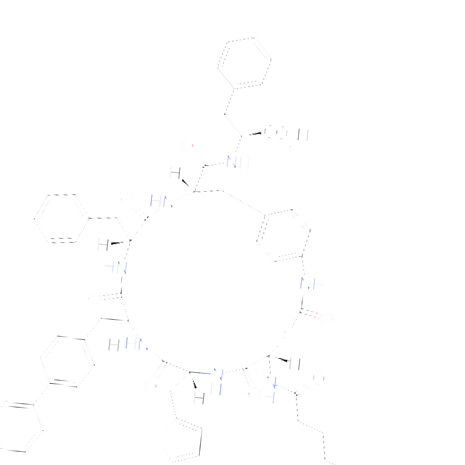 NCCCC(=O)N[C@H]1CC(=O)Nc2ccc(cc2)C[C@@H](C(=O)N[C@@H](Cc2ccccc2)C(=O)O)NC(=O)[C@@H](Cc2ccccc2)NC(=O)[C@H](Cc2ccc(-c3ccccc3)cc2)NC(=O)[C@@H](Cc2cccs2)NC1=O